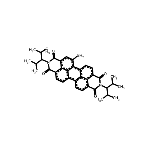 Bc1cc2c3c(ccc4c5ccc6c7c(ccc(c1c34)c75)C(=O)N(C(C(C)C)C(C)C)C6=O)C(=O)N(C(C(C)C)C(C)C)C2=O